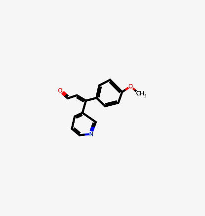 COc1ccc(C(=CC=O)c2cccnc2)cc1